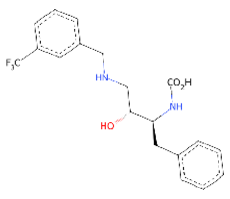 O=C(O)N[C@@H](Cc1ccccc1)[C@H](O)CNCc1cccc(C(F)(F)F)c1